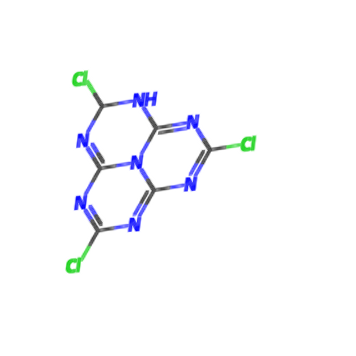 ClC1=NC2=NC(Cl)=NC3=NC(Cl)NC(=N1)N23